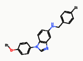 CCOc1ccc(-n2cnc3cc(NCc4ccc(CC)cc4)ccc32)cc1